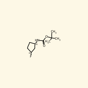 CC(C)(C)OC(=O)N[C@@H]1CC[C@H](F)C1